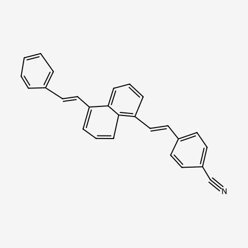 N#Cc1ccc(C=Cc2cccc3c(C=Cc4ccccc4)cccc23)cc1